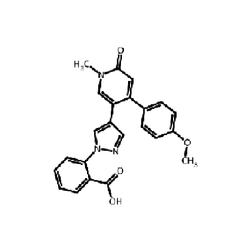 COc1ccc(-c2cc(=O)n(C)cc2-c2cnn(-c3ccccc3C(=O)O)c2)cc1